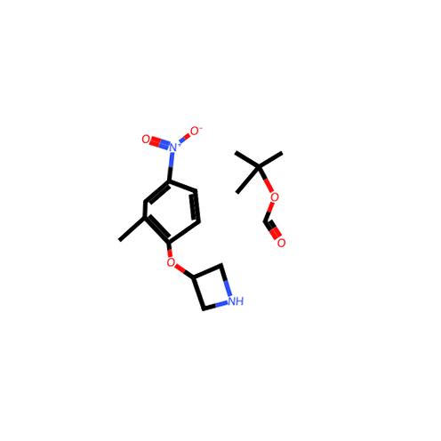 CC(C)(C)OC=O.Cc1cc([N+](=O)[O-])ccc1OC1CNC1